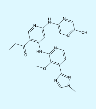 CCC(=O)c1cnc(Nc2cnc(O)cn2)cc1Nc1nccc(-c2ncn(C)n2)c1OC